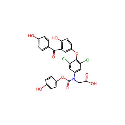 O=C(O)CN(C(=O)Oc1ccc(O)cc1)c1cc(Cl)c(Oc2ccc(O)c(C(=O)c3ccc(O)cc3)c2)c(Cl)c1